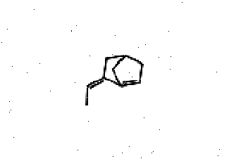 C/C=C1/CC2CC=C1C2